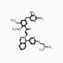 COc1cc(Cc2cnc(N)nc2N)cc(C(=O)C=CN2N=Cc3ccccc3C2c2ccc(OCCN(C)C)nc2)c1OC